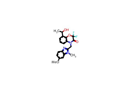 COc1ccc2nc(CN3C(=O)C(F)(F)Oc4c(C(C)O)cccc43)n(C)c2c1